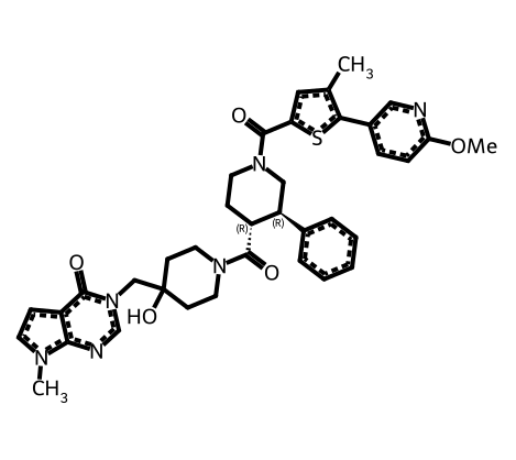 COc1ccc(-c2sc(C(=O)N3CC[C@@H](C(=O)N4CCC(O)(Cn5cnc6c(ccn6C)c5=O)CC4)[C@H](c4ccccc4)C3)cc2C)cn1